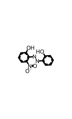 O=[N+]([O-])c1cccc(O)c1N=Nc1ccccc1O